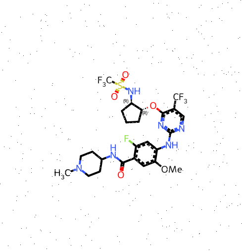 COc1cc(C(=O)NC2CCN(C)CC2)c(F)cc1Nc1ncc(C(F)(F)F)c(O[C@@H]2CCC[C@H]2NS(=O)(=O)C(F)(F)F)n1